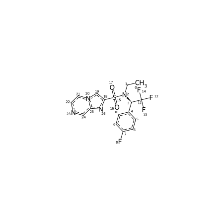 CCN([C@H](c1ccc(F)cc1)C(F)(F)F)S(=O)(=O)c1cn2ccncc2n1